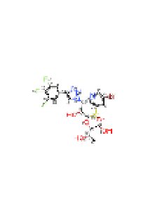 C[C@@H](O)C(CO)OC([C@@H](O)Cn1cc(-c2cc(F)c(F)c(F)c2)nn1)[S+]([O-])c1cncc(Br)c1